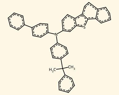 CC(C)(c1ccccc1)c1ccc(N(c2ccc(-c3ccccc3)cc2)c2ccc3c(c2)sc2c4ccccc4ccc32)cc1